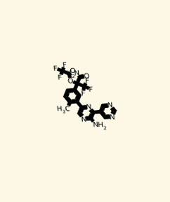 Cc1ccc(C(OC(=O)C(F)(F)F)(C(N)=O)C(F)(F)F)cc1-c1cnc(N)c(-c2cncnc2)n1